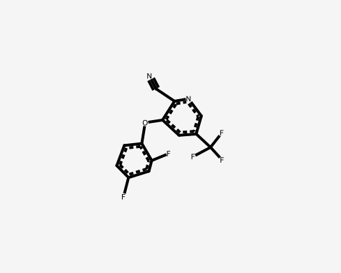 N#Cc1ncc(C(F)(F)F)cc1Oc1ccc(F)cc1F